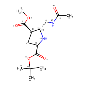 COC(=O)[C@@H]1C[C@H](C(=O)OC(C)(C)C)N[C@H]1CNC(C)=O